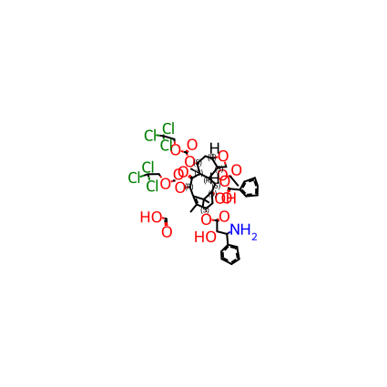 CC(=O)O[C@@]12CO[C@@H]1C[C@H](OC(=O)OCC(Cl)(Cl)Cl)[C@@]1(C)C(=O)[C@H](OC(=O)OCC(Cl)(Cl)Cl)C3=C(C)[C@@H](OC(=O)C(O)C(N)c4ccccc4)C[C@@](O)([C@@H](OC(=O)c4ccccc4)[C@H]21)C3(C)C.O=CO